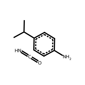 CC(C)c1ccc(N)cc1.N=C=O